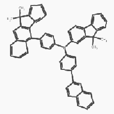 CC1(C)c2ccccc2-c2ccc(N(c3ccc(-c4ccc5ccccc5c4)cc3)c3ccc(-c4c5c(cc6ccccc46)C(C)(C)c4ccccc4-5)cc3)cc21